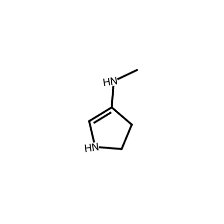 CNC1=CNCC1